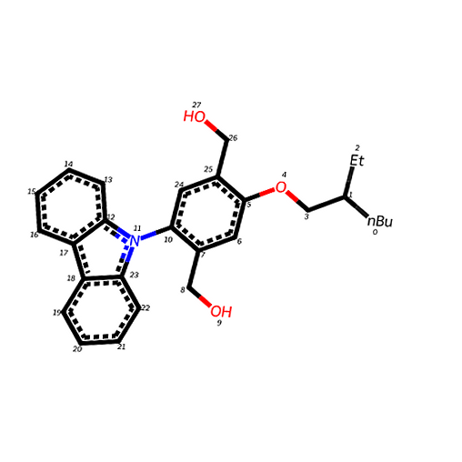 CCCCC(CC)COc1cc(CO)c(-n2c3ccccc3c3ccccc32)cc1CO